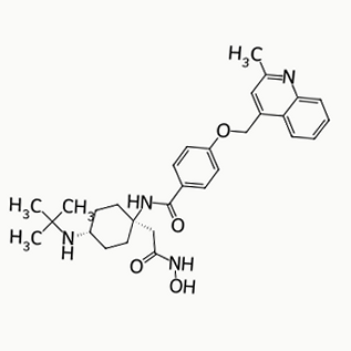 Cc1cc(COc2ccc(C(=O)N[C@]3(CC(=O)NO)CC[C@@H](NC(C)(C)C)CC3)cc2)c2ccccc2n1